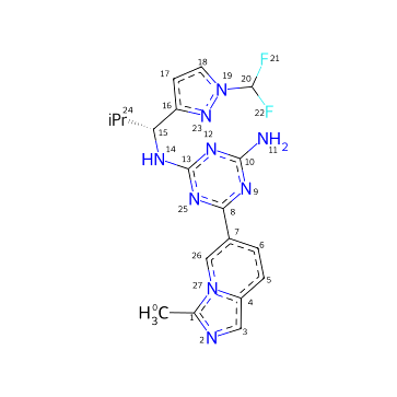 Cc1ncc2ccc(-c3nc(N)nc(N[C@@H](c4ccn(C(F)F)n4)C(C)C)n3)cn12